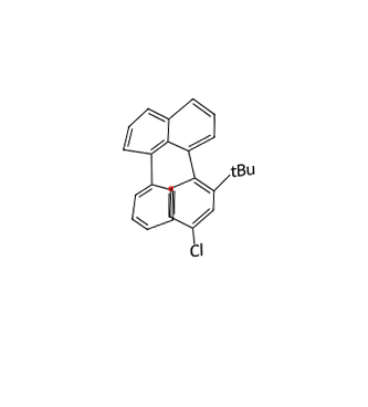 CC(C)(C)c1cc(Cl)ccc1-c1cccc2cccc(-c3ccccc3)c12